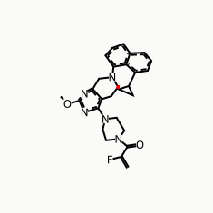 C=C(F)C(=O)N1CCN(c2nc(OC)nc3c2CCN(c2cccc4cccc(C5CC5)c24)C3)CC1